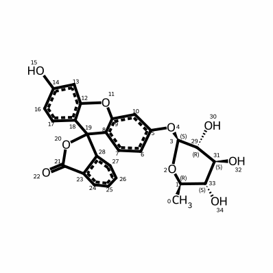 C[C@H]1O[C@@H](Oc2ccc3c(c2)Oc2cc(O)ccc2C32OC(=O)c3ccccc32)[C@H](O)[C@@H](O)[C@@H]1O